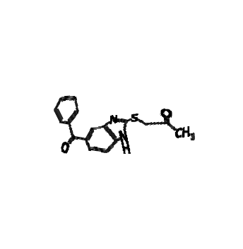 CC(=O)CSc1nc2cc(C(=O)c3ccccc3)ccc2[nH]1